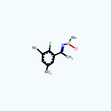 CC(=N[S@+]([O-])C(C)(C)C)c1cc([N+](=O)[O-])cc(C#N)c1F